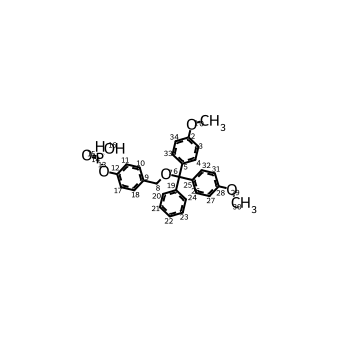 COc1ccc(C(OCc2ccc(O[PH](=O)O)cc2)(c2ccccc2)c2ccc(OC)cc2)cc1